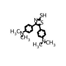 CN(C)c1ccc(-c2nc(S)sc2-c2ccc(N(C)C)cc2)cc1